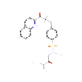 CC(C)C(=O)CN(C)S(=O)(=O)c1ccc(CC(C)(C)C(=O)c2ccc3ccccc3n2)cc1